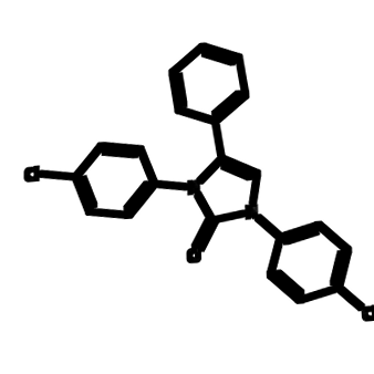 O=c1n(-c2ccc(Cl)cc2)cc(-c2ccccc2)n1-c1ccc(Cl)cc1